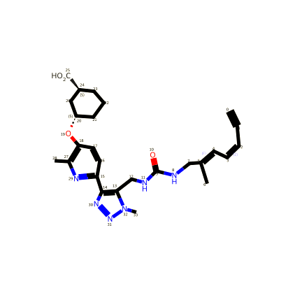 C#C/C=C\C=C(/C)CNC(=O)NCc1c(-c2ccc(O[C@H]3CCC[C@H](C(=O)O)C3)c(C)n2)nnn1C